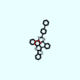 c1ccc(-c2ccc(-c3nc(-c4ccccc4)nc(-c4ccccc4-c4c5ccccc5nc5c4sc4ccccc45)n3)cc2)cc1